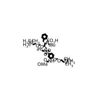 COC(=O)Nc1cc(S(=O)(=O)N(CC(C)C)C[C@@H](OCOCC[Si](C)(C)C)[C@H](Cc2ccccc2)N(C(=O)O)C(C)(C)C)ccc1OCOCC[Si](C)(C)C